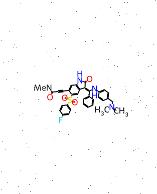 CNC(=O)C#Cc1cc2c(cc1S(=O)(=O)c1ccc(F)cc1)/C(=C(/Nc1ccc(CN(C)C)cc1)c1ccccc1)C(=O)N2